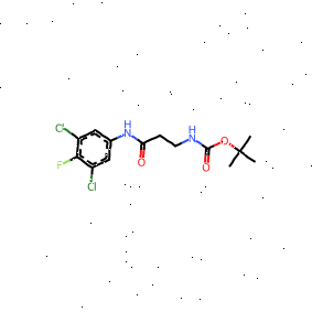 CC(C)(C)OC(=O)NCCC(=O)Nc1cc(Cl)c(F)c(Cl)c1